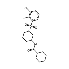 Cc1c(Cl)cccc1S(=O)(=O)N1CCCC(NC(=O)C2CCCCC2)C1